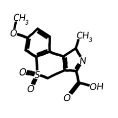 COc1ccc2c(c1)S(=O)(=O)CC1=C2C(C)N=C1C(=O)O